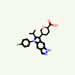 CC(C)c1c(C2CCC(C(=O)O)OC2)c2cc3[nH]ncc3cc2n1-c1ccc(F)cc1